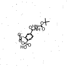 CC(C)(C)OC(=O)NNC(=O)c1ccc(S(=O)(=O)O)c([N+](=O)[O-])c1